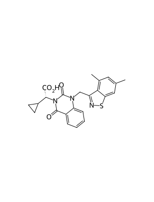 Cc1cc(C)c2c(Cn3c(=O)n([C@@H](C(=O)O)C4CC4)c(=O)c4ccccc43)nsc2c1